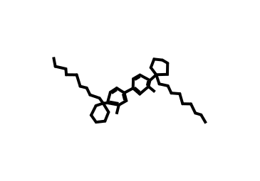 CCCCCCCCCC1(c2ccc(-c3ccc(C4(CCCCCCCCC)CCCCC4)c(C)c3)cc2C)CCCCC1